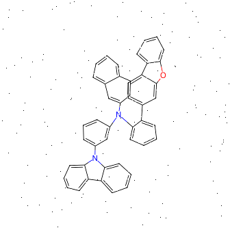 c1cc(N(c2ccc3ccccc3c2)c2ccccc2-c2ccc3c(c2)oc2ccccc23)cc(-n2c3ccccc3c3ccccc32)c1